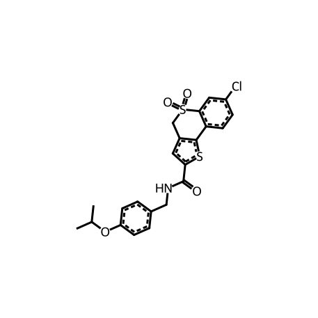 CC(C)Oc1ccc(CNC(=O)c2cc3c(s2)-c2ccc(Cl)cc2S(=O)(=O)C3)cc1